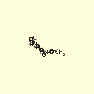 CCc1ccc(CNC(=O)c2ccc(N3CCN(C(=O)Cc4c(Cl)cccc4Cl)CC3)cc2)cc1